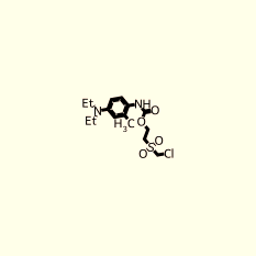 CCN(CC)c1ccc(NC(=O)OCCS(=O)(=O)CCl)c(C)c1